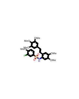 COc1ccc(S(=O)(=O)Nc2cc(OC)c(OC)cc2C=Cc2cc(OC)c(OC)c(OC)c2)cc1F